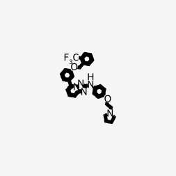 FC(F)(F)c1ccccc1COc1cccc(-c2cccc3nc(Nc4ccc(OCCN5CCCC5)cc4)nn23)c1